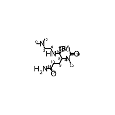 CN(C)CCNC(=O)C(CCC(N)=O)N(C)C(=O)C(C)(C)C